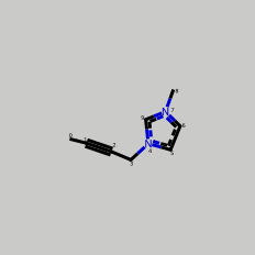 CC#CC[n+]1ccn(C)c1